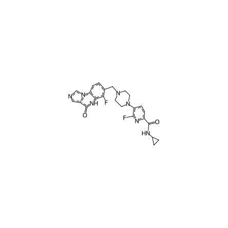 O=C(NC1CC1)c1ccc(N2CCN(Cc3ccc4c([nH]c(=O)c5cncn54)c3F)CC2)c(F)n1